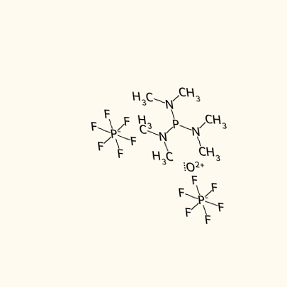 CN(C)P(N(C)C)N(C)C.F[P-](F)(F)(F)(F)F.F[P-](F)(F)(F)(F)F.[O+2]